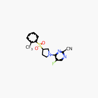 N#Cc1ncc(F)c(N2CCC(S(=O)(=O)c3ccccc3C(F)(F)F)C2)n1